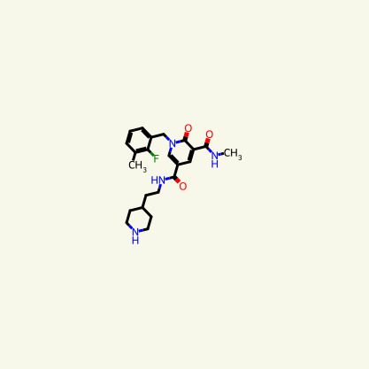 CNC(=O)c1cc(C(=O)NCCC2CCNCC2)cn(Cc2cccc(C)c2F)c1=O